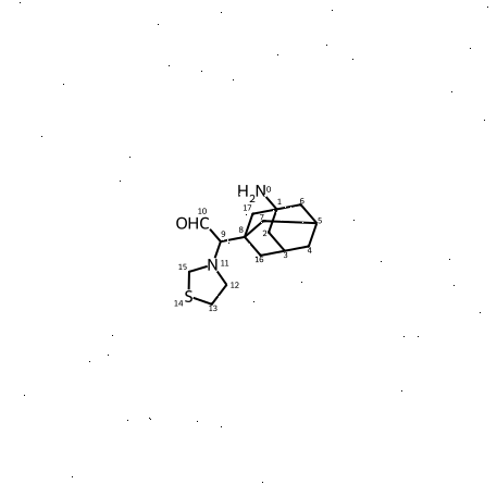 NC12CC3CC(C1)CC(C(C=O)N1CCSC1)(C3)C2